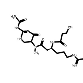 CN(C(=O)C[C@H](CCCNC(=N)N)NC(=O)CCO)C1CNC(NC(N)=O)=NC1=O